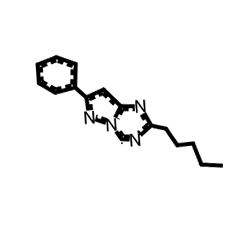 CCCCCc1n[c]n2nc(-c3ccccc3)cc2n1